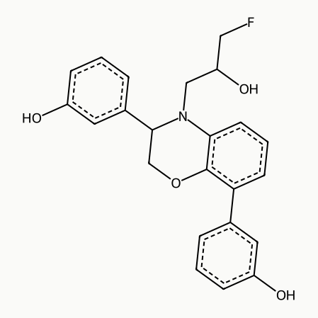 Oc1cccc(-c2cccc3c2OCC(c2cccc(O)c2)N3CC(O)CF)c1